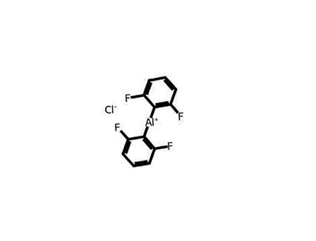 Fc1cccc(F)[c]1[Al+][c]1c(F)cccc1F.[Cl-]